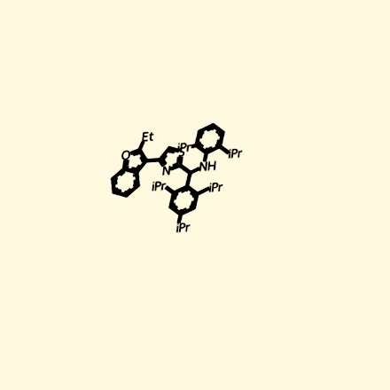 CCc1oc2ccccc2c1-c1csc(C(Nc2c(C(C)C)cccc2C(C)C)c2c(C(C)C)cc(C(C)C)cc2C(C)C)n1